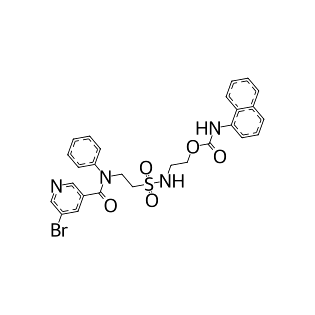 O=C(Nc1cccc2ccccc12)OCCNS(=O)(=O)CCN(C(=O)c1cncc(Br)c1)c1ccccc1